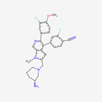 COc1ccc(-c2ncc3c(cc(CN4CCC[C@H](N)C4)n3C)c2-c2ccc(C#N)c(F)c2)cc1F